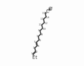 CCC=CCC=CCCCCCCCCCC=C=O